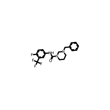 O=C(Nc1ccc(F)c(C(F)(F)F)c1)N1CCCN(Cc2ccccc2)C1